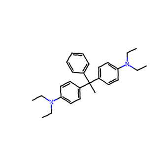 CCN(CC)c1ccc(C(C)(c2ccccc2)c2ccc(N(CC)CC)cc2)cc1